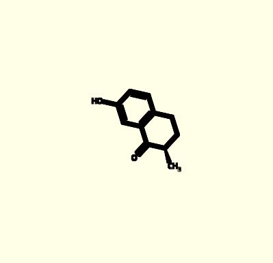 C[C@@H]1CCc2ccc(O)cc2C1=O